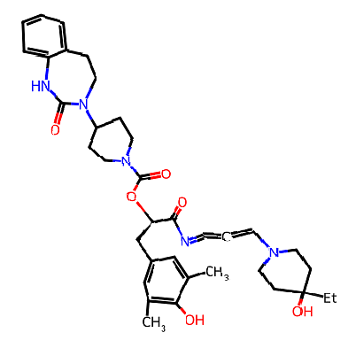 CCC1(O)CCN(C=C=C=NC(=O)[C@@H](Cc2cc(C)c(O)c(C)c2)OC(=O)N2CCC(N3CCc4ccccc4NC3=O)CC2)CC1